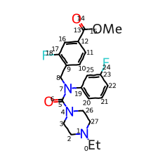 CCN1CCN(C(=O)N(Cc2ccc(C(=O)OC)cc2F)c2cccc(F)c2)CC1